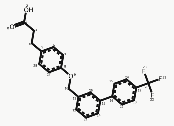 O=C(O)CCc1ccc(OCc2cccc(-c3ccc(C(F)(F)F)cc3)c2)cc1